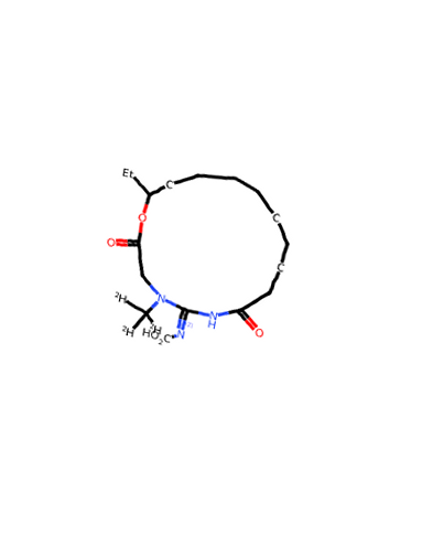 [2H]C([2H])([2H])N1CC(=O)OC(CC)CCCCCCCCC(=O)N/C1=N/C(=O)O